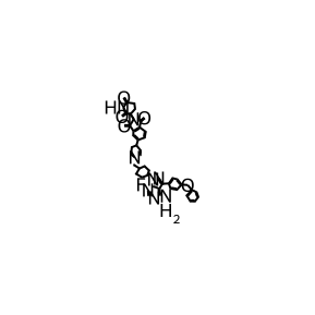 Nc1ncnc2c1c(-c1ccc(Oc3ccccc3)cc1)nn2C1CCC(CN2CCC(c3ccc4c(c3)C(=O)N(C3CCC(=O)NC3=O)C4=O)CC2)CC1F